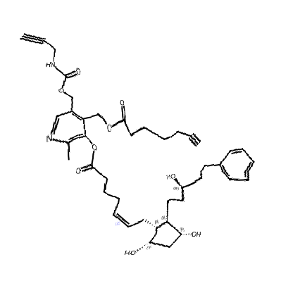 C#CCCCCC(=O)OCc1c(COC(=O)NCC#C)cnc(C)c1OC(=O)CCC/C=C\C[C@@H]1[C@@H](CC[C@@H](O)CCc2ccccc2)[C@H](O)C[C@@H]1O